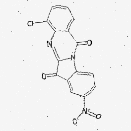 O=C1c2cc([N+](=O)[O-])ccc2-n2c1nc1c(Cl)cccc1c2=O